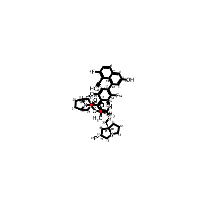 C#Cc1c(F)ccc2cc(O)cc(-c3c(F)c(OC)c4c(N5CC6CCC(C5)N6C(=O)OC(C)(C)C)nc(OC[C@@]56CCCN5C[C@H](F)C6)nc4c3F)c12